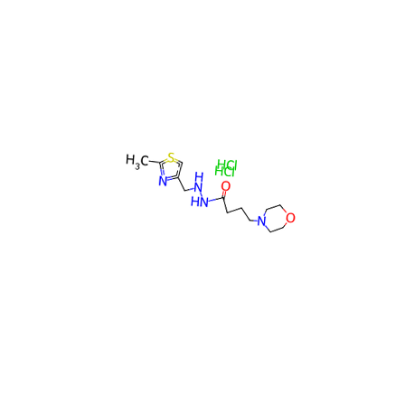 Cc1nc(CNNC(=O)CCCN2CCOCC2)cs1.Cl.Cl